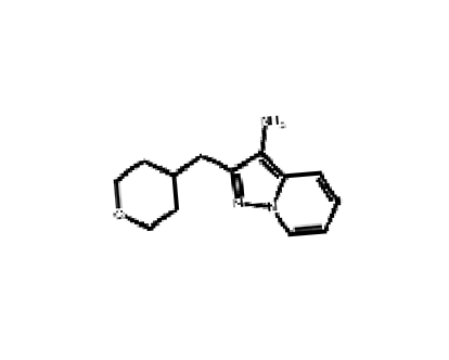 Nc1c(CC2CCOCC2)nn2ccccc12